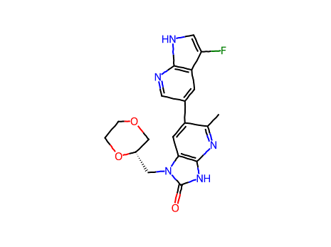 Cc1nc2[nH]c(=O)n(C[C@H]3COCCO3)c2cc1-c1cnc2[nH]cc(F)c2c1